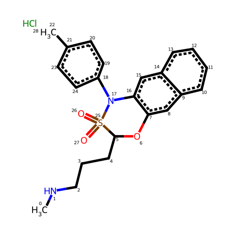 CNCCCC1Oc2cc3ccccc3cc2N(c2ccc(C)cc2)S1(=O)=O.Cl